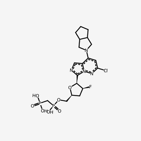 O=P(O)(O)CP(=O)(O)OC[C@@H]1C[C@H](F)[C@H](c2ncc3c(N4CC5CCCC5C4)cc(Cl)nn23)O1